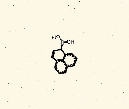 OB(O)C1C=Cc2cccc3cccc1c23